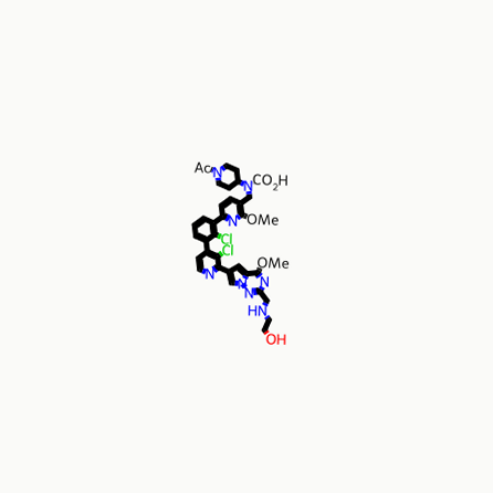 COc1nc(-c2cccc(-c3ccnc(-c4cc5c(OC)nc(CNCCO)nn5c4)c3Cl)c2Cl)ccc1CN(C(=O)O)C1CCN(C(C)=O)CC1